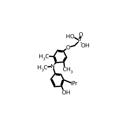 Cc1cc(OCP(=O)(O)O)cc(C)c1N(C)c1ccc(O)c(C(C)C)c1